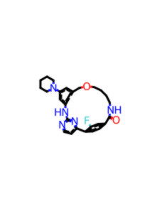 O=C1NCCCCOCc2cc(cc(N3CCCCC3)c2)Nc2nccc(n2)-c2ccc1cc2F